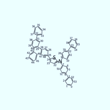 c1ccc(-c2ccc(N(c3ccc(-c4ccccc4)cc3)c3ccc(-c4ccc(-c5cc(-c6ccccc6)ccc5-c5ccccc5)cc4)s3)cc2)cc1